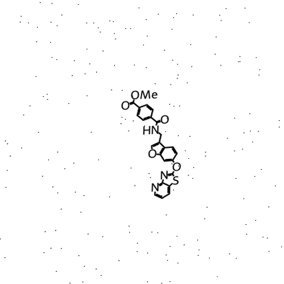 COC(=O)c1ccc(C(=O)NCc2coc3cc(Oc4nc5ncccc5s4)ccc23)cc1